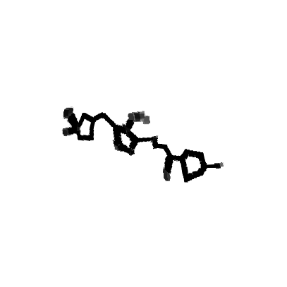 Cn1c(CC2CCS(=O)(=O)C2)nnc1S/C=C/C(=O)c1ccc(F)cc1